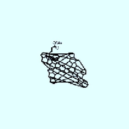 COC(=O)CCCC1(c2ccccc2)C23C4C5C6C7C8C9C%10C%11C%12C%13C%14C%15C%16C%12C%12C%17C%11C8C8C%17C%11C%17C%12C%16C%12C%16C%15C%15C%14C%14C(C%13%10)C%10C9C7C7C9C%10C%14C%10C%15C%13C%16C%14C%15C%12C%17C%12C%15C%15C%16C%14C%13C%13C%10C9C(C%13C%16C12C%15C1C%12C%11C(C86)C14)C3C75